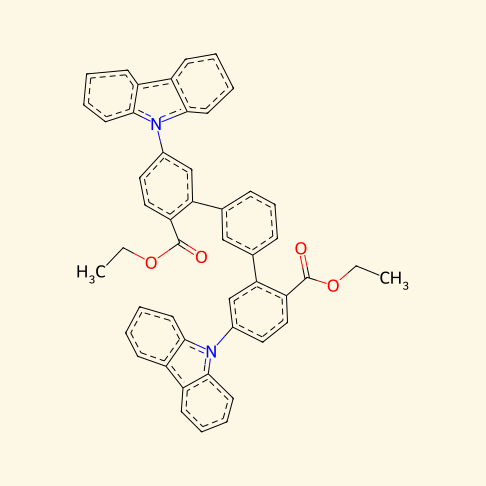 CCOC(=O)c1ccc(-n2c3ccccc3c3ccccc32)cc1-c1cccc(-c2cc(-n3c4ccccc4c4ccccc43)ccc2C(=O)OCC)c1